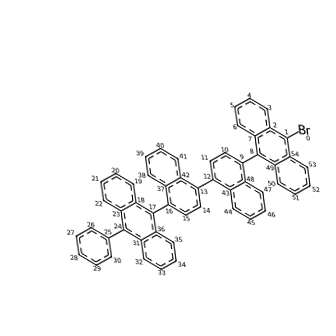 Brc1c2ccccc2c(-c2ccc(-c3ccc(-c4c5ccccc5c(-c5ccccc5)c5ccccc45)c4ccccc34)c3ccccc23)c2ccccc12